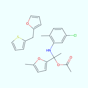 CC(=O)OC(C)(Nc1cc(Cl)ccc1C)c1ccc(C)o1.c1coc(Cc2cccs2)c1